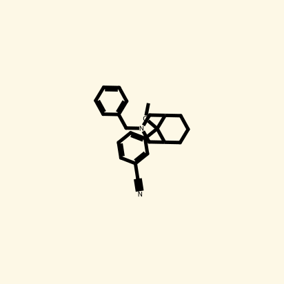 COC1(c2cccc(C#N)c2)C2CCCC1CN(Cc1ccccc1)C2